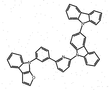 c1cc(-c2cccc(-n3c4ccccc4c4cc(-n5c6ccccc6c6ccccc65)ccc43)n2)cc(-n2c3ccccc3c3ccoc32)c1